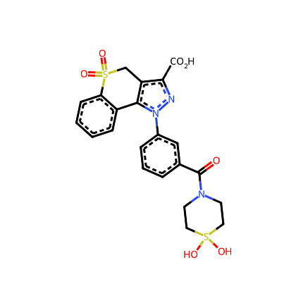 O=C(O)c1nn(-c2cccc(C(=O)N3CCS(O)(O)CC3)c2)c2c1CS(=O)(=O)c1ccccc1-2